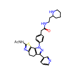 CC(=O)Nc1nc2c(s1)-c1c(c(-c3cccnc3)nn1-c1ccc(CC(=O)NCCC3CCCCN3)cc1)CC2